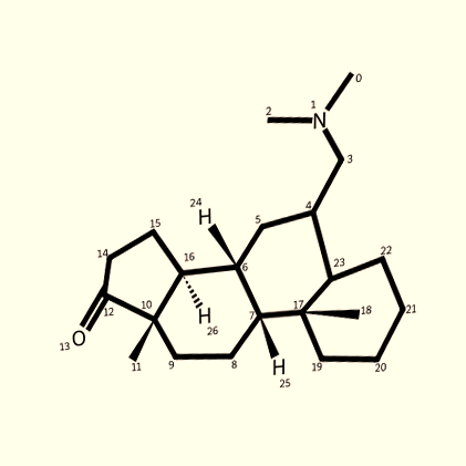 CN(C)CC1C[C@@H]2[C@@H](CC[C@]3(C)C(=O)CC[C@@H]23)[C@@]2(C)CCCCC12